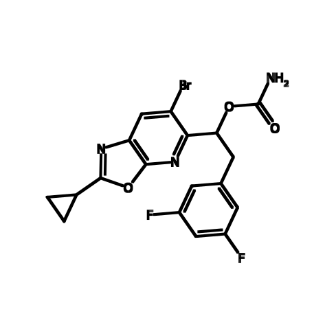 NC(=O)OC(Cc1cc(F)cc(F)c1)c1nc2oc(C3CC3)nc2cc1Br